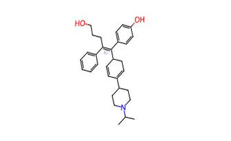 CC(C)N1CCC(C2=CCC(/C(=C(/CCCO)c3ccccc3)c3ccc(O)cc3)C=C2)CC1